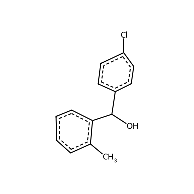 Cc1ccccc1C(O)c1ccc(Cl)cc1